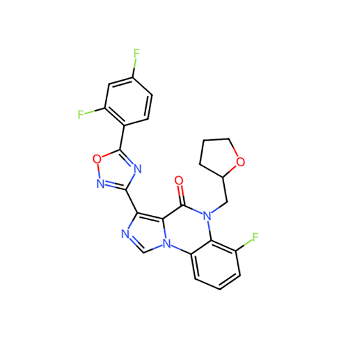 O=c1c2c(-c3noc(-c4ccc(F)cc4F)n3)ncn2c2cccc(F)c2n1CC1CCCO1